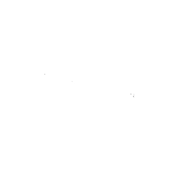 CCN(CC)c1ccc2c(C)cc(C(C)(C)C)[o+]c2c1